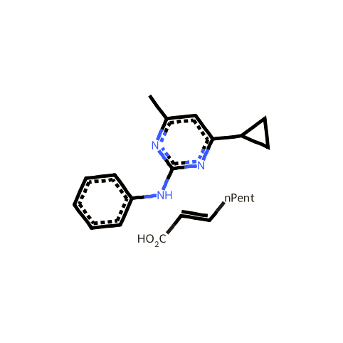 CCCCC/C=C/C(=O)O.Cc1cc(C2CC2)nc(Nc2ccccc2)n1